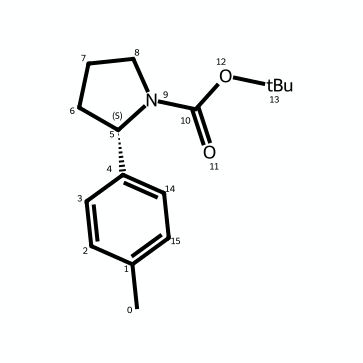 Cc1ccc([C@@H]2CCCN2C(=O)OC(C)(C)C)cc1